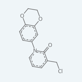 O=c1c(CCl)cccn1-c1ccc2c(c1)OCCO2